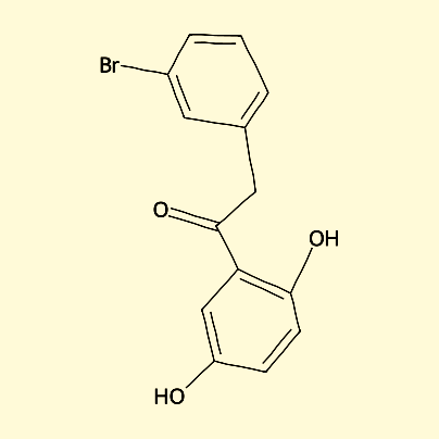 O=C(Cc1cccc(Br)c1)c1cc(O)ccc1O